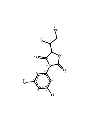 O=C1OC(C(Br)CBr)C(=O)N1c1cc(Cl)cc(Cl)c1